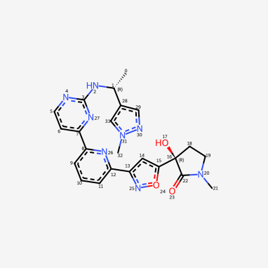 C[C@@H](Nc1nccc(-c2cccc(-c3cc([C@]4(O)CCN(C)C4=O)on3)n2)n1)c1cnn(C)c1